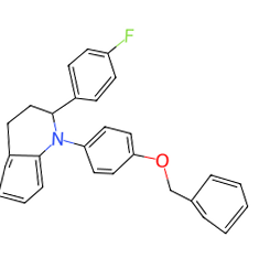 Fc1ccc(C2CCc3ccccc3N2c2ccc(OCc3ccccc3)cc2)cc1